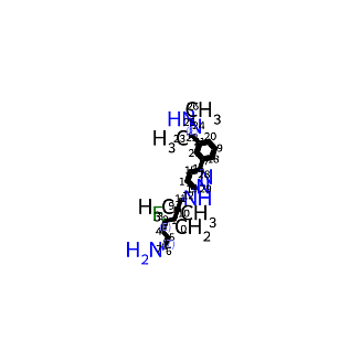 C=C(/C(F)=C\C=C/N)C(C)(C)CNc1ccc(-c2cccc(/C(C)=N/NC)c2)nn1